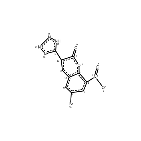 O=c1oc2c([N+](=O)[O-])cc(Br)cc2cc1-c1nnn[nH]1